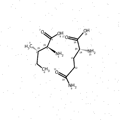 CC[C@H](C)[C@H](N)C(=O)O.NC(=O)CC[C@@H](N)C(=O)O